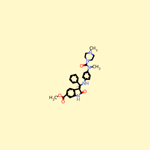 COC(=O)c1ccc2c(c1)NC(=O)/C2=C(\Nc1ccc(N(C)C(=O)N2CCN(C)CC2)cc1)c1ccccc1